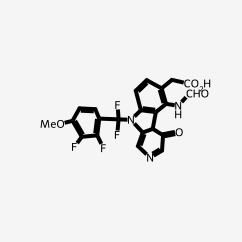 COc1ccc(C(F)(F)N2C3=CN=CC(=O)C3c3c2ccc(CC(=O)O)c3NC=O)c(F)c1F